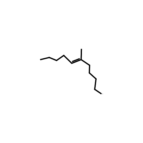 [CH2]CCCCC(C)=CCCCC